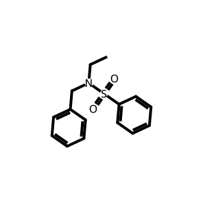 CCN(Cc1ccccc1)S(=O)(=O)c1ccccc1